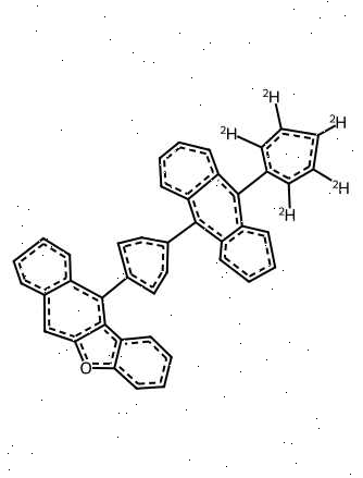 [2H]c1c([2H])c([2H])c(-c2c3ccccc3c(-c3ccc(-c4c5ccccc5cc5oc6ccccc6c45)cc3)c3ccccc23)c([2H])c1[2H]